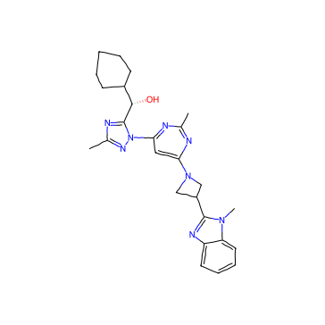 Cc1nc(N2CC(c3nc4ccccc4n3C)C2)cc(-n2nc(C)nc2[C@@H](O)C2CCCCC2)n1